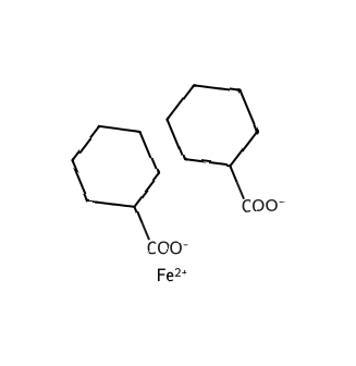 O=C([O-])C1CCCCC1.O=C([O-])C1CCCCC1.[Fe+2]